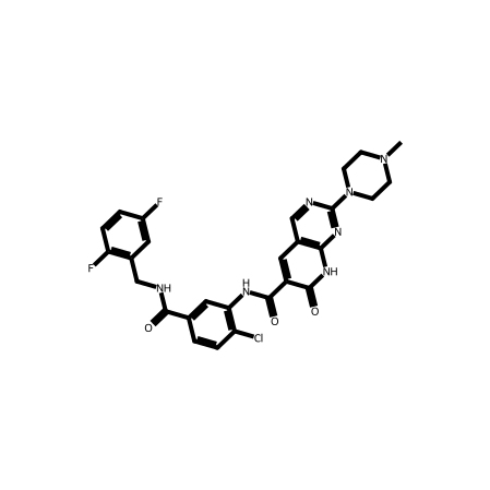 CN1CCN(c2ncc3cc(C(=O)Nc4cc(C(=O)NCc5cc(F)ccc5F)ccc4Cl)c(=O)[nH]c3n2)CC1